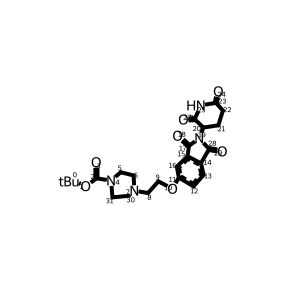 CC(C)(C)OC(=O)N1CCN(CCOc2ccc3c(c2)C(=O)N(C2CCC(=O)NC2=O)C3=O)CC1